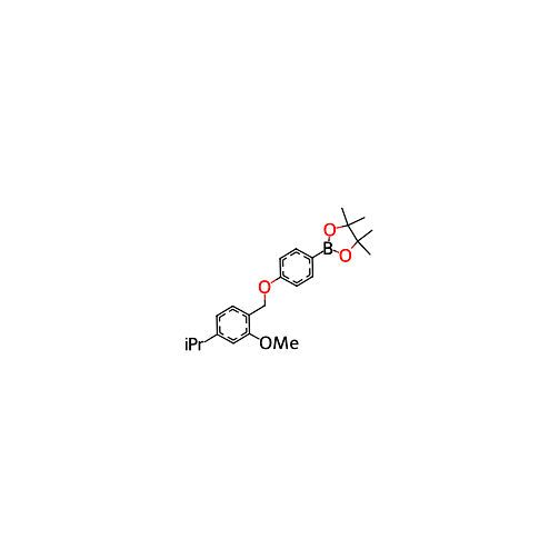 COc1cc(C(C)C)ccc1COc1ccc(B2OC(C)(C)C(C)(C)O2)cc1